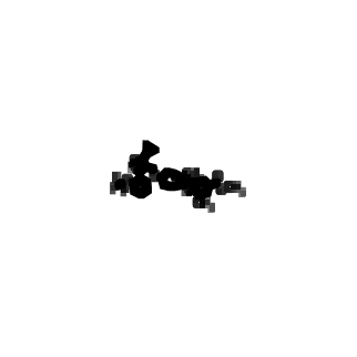 COC(=O)c1cc(C)c2nc(N3C4CC(OCc5c(-c6ccccc6OC(F)(F)F)noc5C5CC5)CC3[C@H](C)C4)sc2c1